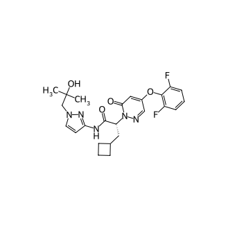 CC(C)(O)Cn1ccc(NC(=O)[C@@H](CC2CCC2)n2ncc(Oc3c(F)cccc3F)cc2=O)n1